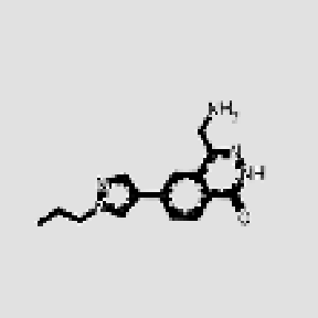 CCCn1cc(-c2ccc3c(=O)[nH]nc(CN)c3c2)cn1